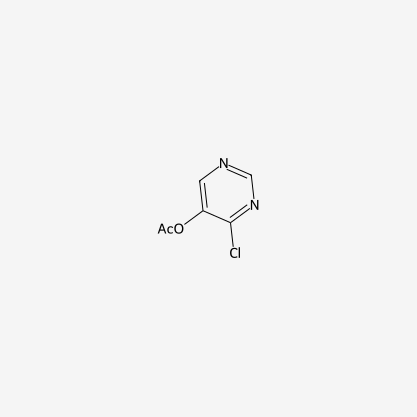 CC(=O)Oc1cncnc1Cl